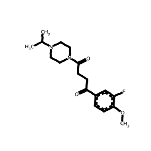 COc1ccc(C(=O)CCC(=O)N2CCN(C(C)C)CC2)cc1F